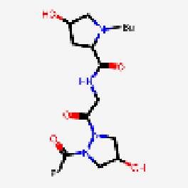 CCC(C)N1CC(O)CC1C(=O)NCC(=O)N1CC(O)CN1C(=O)C(C)C